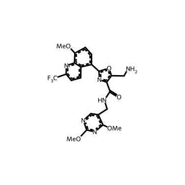 COc1ncc(CNC(=O)c2nc(-c3ccc(OC)c4nc(C(F)(F)F)ccc34)oc2CN)c(OC)n1